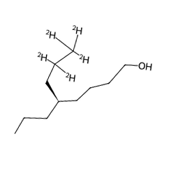 [2H]C([2H])([2H])C([2H])([2H])C[C@H](CCC)CCCCO